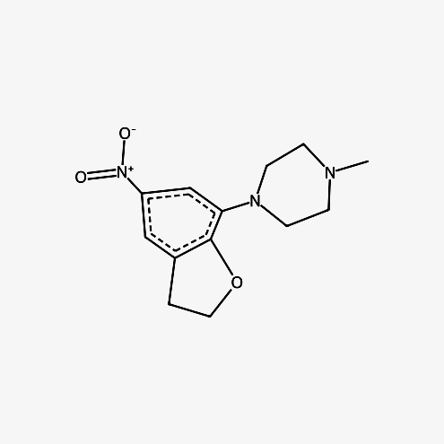 CN1CCN(c2cc([N+](=O)[O-])cc3c2OCC3)CC1